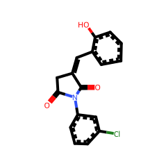 O=C1C/C(=C/c2ccccc2O)C(=O)N1c1cccc(Cl)c1